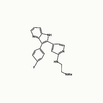 CNCCNc1cc(-c2[nH]c3cccnc3c2-c2ccc(F)cc2)ccn1